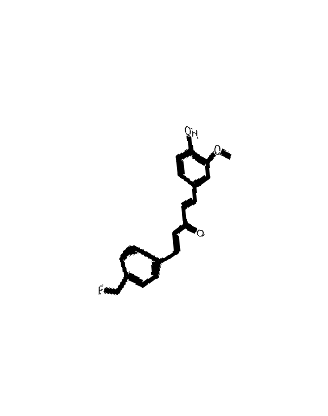 COc1cc(/C=C/C(=O)/C=C/c2ccc(CF)cc2)ccc1O